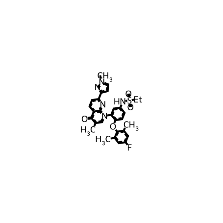 CCS(=O)(=O)Nc1ccc(Oc2c(C)cc(F)cc2C)c(-n2cc(C)c(=O)c3ccc(-c4ccn(C)n4)nc32)c1